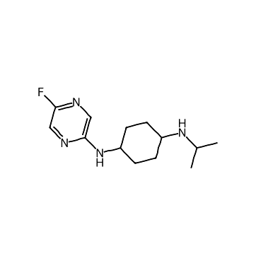 CC(C)NC1CCC(Nc2cnc(F)cn2)CC1